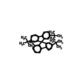 CC(C)(C)c1ccc2c(c1)C1(c3cc(C(C)(C)C)ccc3-2)c2cc(C(C)(C)C)ccc2-c2cccc(Br)c21